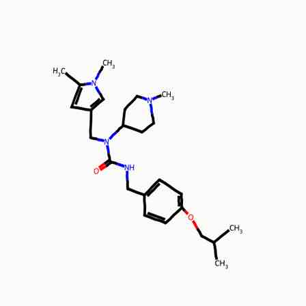 Cc1cc(CN(C(=O)NCc2ccc(OCC(C)C)cc2)C2CCN(C)CC2)cn1C